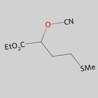 CCOC(=O)C(CCSC)OC#N